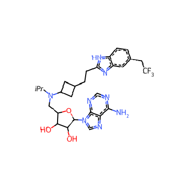 CC(C)N(CC1OC(n2cnc3c(N)ncnc32)C(O)C1O)C1CC(CCc2nc3cc(CC(F)(F)F)ccc3[nH]2)C1